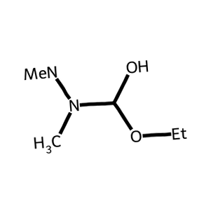 CCOC(O)N(C)NC